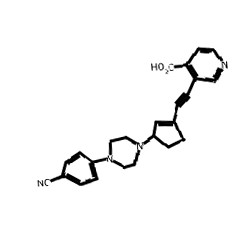 N#Cc1ccc(N2CCN(C3C=C(C#Cc4cnccc4C(=O)O)CC3)CC2)cc1